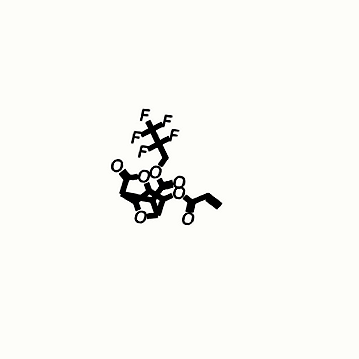 C=CC(=O)OC1C2OC(=O)C3C2OC1C3C(=O)OCC(F)(F)C(F)(F)F